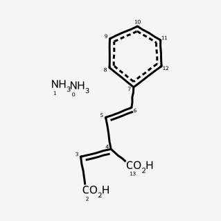 N.N.O=C(O)/C=C(/C=C/c1ccccc1)C(=O)O